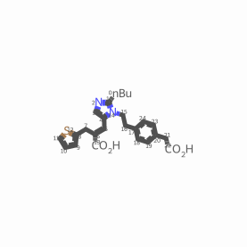 CCCCc1ncc(C=C(Cc2cccs2)C(=O)O)n1CCc1ccc(CC(=O)O)cc1